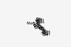 COc1ccc(OC)c(C2CC3C4CC=C5CC(OC6O[C@@H](C)[C@@H](O)[C@@H](O)[C@@H]6O)CCC5(C)C4CCC3(C)C2C(C)OC2O[C@@H](C)C(O)[C@@H](O)[C@@H]2O)c1